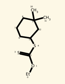 CCOC(=S)SC1CCCC(C)(C)C1